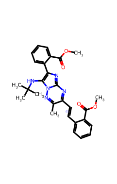 COC(=O)c1ccccc1/C=C/c1nc2nc(-c3ccccc3C(=O)OC)c(NC(C)(C)C)n2nc1C